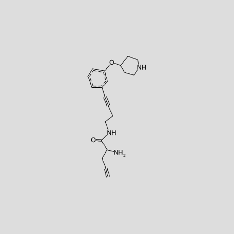 C#CCC(N)C(=O)NCCC#Cc1cccc(OC2CCNCC2)c1